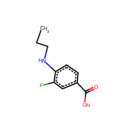 CCCNc1ccc(C(=O)O)cc1F